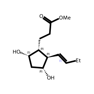 CC/C=C/[C@@H]1[C@@H](CCC(=O)OC)[C@@H](O)C[C@H]1O